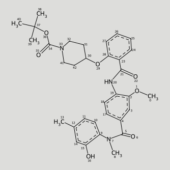 COc1cc(C(=O)N(C)c2ccc(C)cc2O)ccc1NC(=O)c1ccccc1OC1CCN(C(=O)OC(C)(C)C)CC1